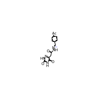 CC(=O)c1ccc(/C=N/NC(=O)Cc2n[nH]c(=O)[nH]c2=O)cc1